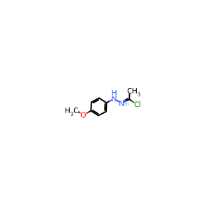 COc1ccc(N/N=C(\C)Cl)cc1